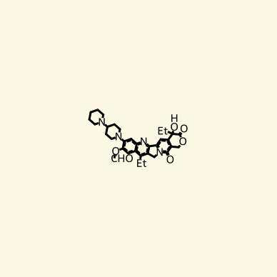 CCc1c2c(nc3cc(N4CCC(N5CCCCC5)CC4)c(OC=O)cc13)-c1cc3c(c(=O)n1C2)COC(=O)C3(O)CC